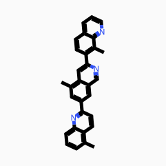 Cc1cc(-c2ccc3c(C)cccc3n2)cc2cnc(-c3ccc4cccnc4c3C)cc12